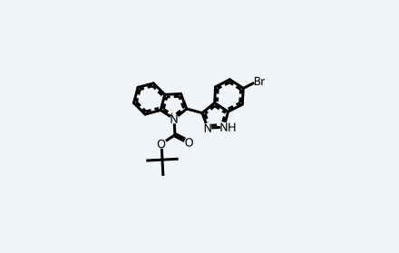 CC(C)(C)OC(=O)n1c(-c2n[nH]c3cc(Br)ccc23)cc2ccccc21